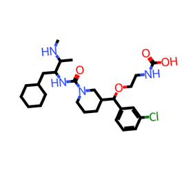 CNC(C)C(CC1CCCCC1)NC(=O)N1CCCC(C(OCCNC(=O)O)c2cccc(Cl)c2)C1